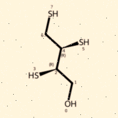 OC[C@@H](S)[C@H](S)CS